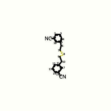 N#Cc1cccc(CCSCCc2cccc(C#N)c2)c1